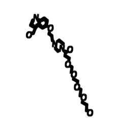 O=CCCOCCOCCOCCOCCC(=O)N1CCN(CCCOc2ccc3nccc(C=O)c3c2)CC1